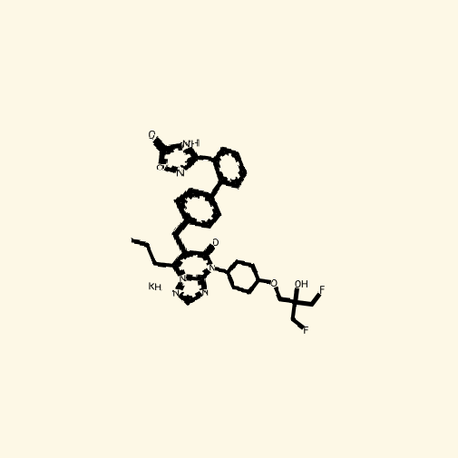 CCCc1c(Cc2ccc(-c3ccccc3-c3noc(=O)[nH]3)cc2)c(=O)n(C2CCC(OCC(O)(CF)CF)CC2)c2ncnn12.[KH]